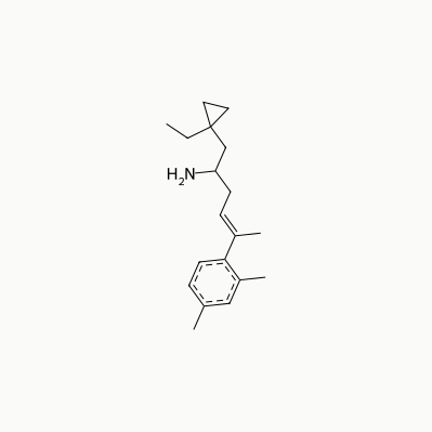 CCC1(CC(N)C/C=C(\C)c2ccc(C)cc2C)CC1